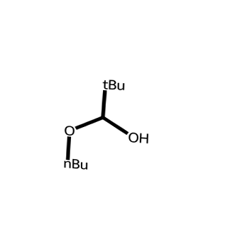 CCCCOC(O)C(C)(C)C